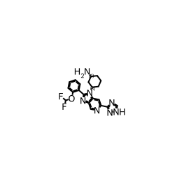 N[C@H]1CCC[C@@H](n2c(-c3ccccc3OC(F)F)nc3cnc(-c4nc[nH]n4)cc32)C1